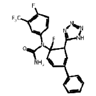 NC(=O)N(c1ccc(F)c(C(F)(F)F)c1)C1(F)C=CC(c2ccccc2)=CC1c1nnn[nH]1